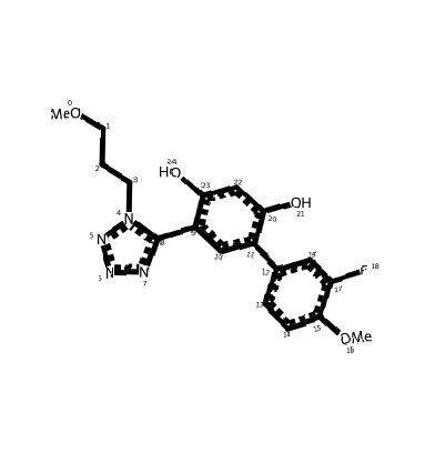 COCCCn1nnnc1-c1cc(-c2ccc(OC)c(F)c2)c(O)cc1O